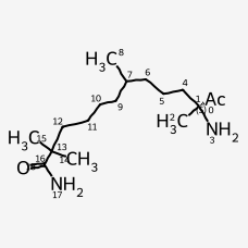 CC(=O)[C@@](C)(N)CCCC(C)CCCCC(C)(C)C(N)=O